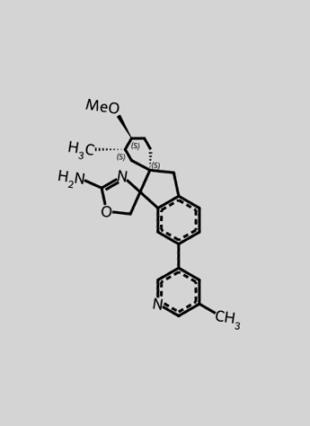 CO[C@H]1CC[C@@]2(Cc3ccc(-c4cncc(C)c4)cc3C23COC(N)=N3)C[C@@H]1C